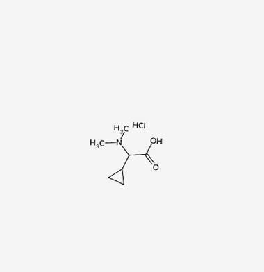 CN(C)C(C(=O)O)C1CC1.Cl